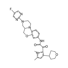 Cc1cc(C2CCOCC2)c(C(=O)C(=O)Nc2ccc3c(c2)OCC2CN(c4ncc(F)cn4)CCN32)n1C